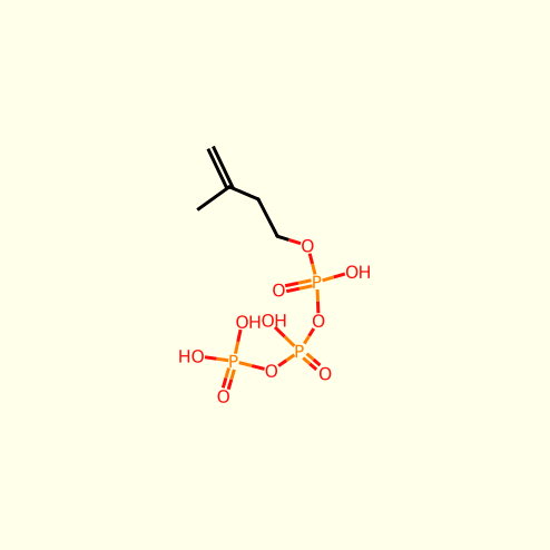 C=C(C)CCOP(=O)(O)OP(=O)(O)OP(=O)(O)O